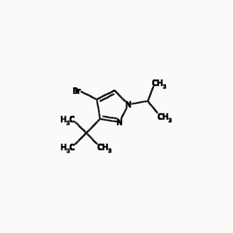 CC(C)n1cc(Br)c(C(C)(C)C)n1